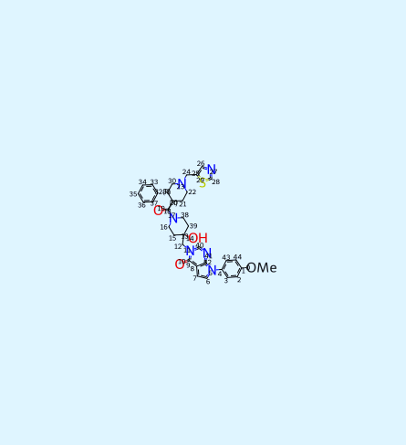 COc1ccc(-n2ccc3c(=O)n(CC4(O)CCN(C(=O)[C@@H]5CCN(Cc6cncs6)C[C@H]5c5ccccc5)CC4)cnc32)cc1